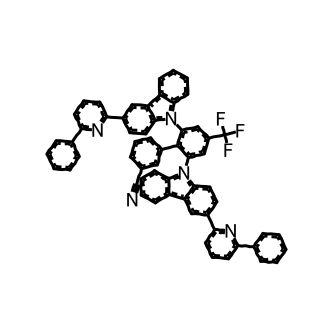 N#Cc1cccc(-c2c(-n3c4ccccc4c4cc(-c5cccc(-c6ccccc6)n5)ccc43)cc(C(F)(F)F)cc2-n2c3ccccc3c3cc(-c4cccc(-c5ccccc5)n4)ccc32)c1